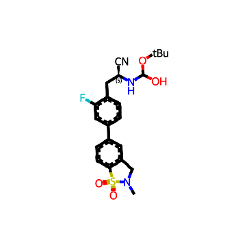 CN1Cc2cc(-c3ccc(C[C@@H](C#N)NC(O)OC(C)(C)C)c(F)c3)ccc2S1(=O)=O